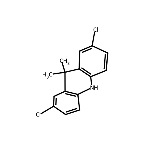 CC1(C)c2cc(Cl)ccc2Nc2ccc(Cl)cc21